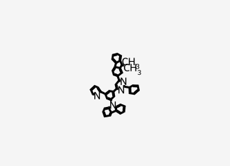 CC1(C)c2ccccc2-c2ccc(-c3cc(-c4cc(-c5ccccn5)cc(-n5c6ccccc6c6ccccc65)c4)nc(-c4ccccc4)n3)cc21